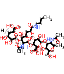 CCCCNC(=O)CCC1O[C@@H](O[C@@H]2C(C(=O)O)O[C@@H](O[C@@H]3C(NC(C)=O)C(C)OC(CO)[C@H]3O)C(O)[C@H]2O)C(NC(C)=O)[C@@H](O[C@@H]2OC(C(=O)O)C(C)[C@H](O)C2O)[C@@H]1O